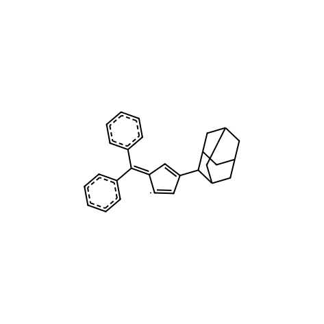 [C]1=CC(C2C3CC4CC(C3)CC2C4)=CC1=C(c1ccccc1)c1ccccc1